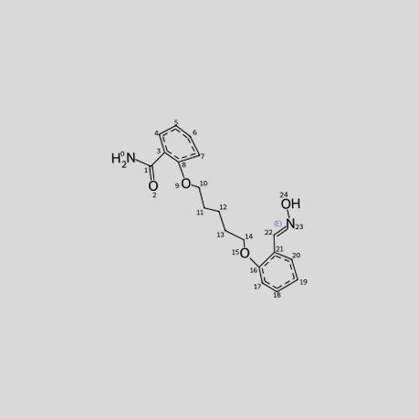 NC(=O)c1ccccc1OCCCCCOc1ccccc1/C=N/O